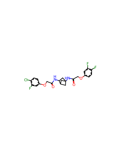 O=C(COc1ccc(Cl)c(F)c1)NC1CC2(NC(=O)COc3ccc(F)c(F)c3)CC1C2